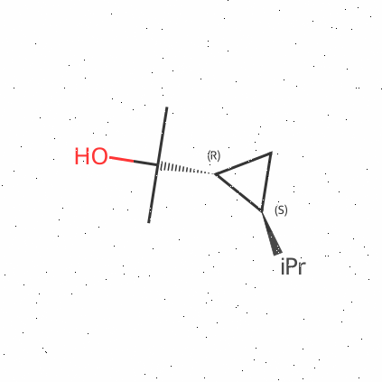 CC(C)[C@@H]1C[C@H]1C(C)(C)O